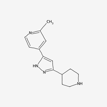 Cc1cc(-c2cc(C3CCNCC3)n[nH]2)ccn1